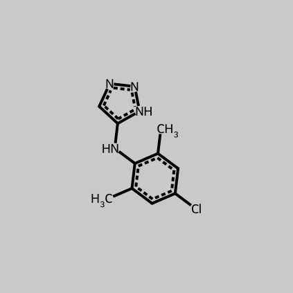 Cc1cc(Cl)cc(C)c1Nc1cnn[nH]1